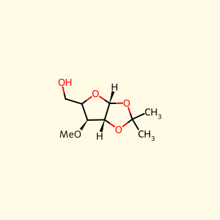 CO[C@H]1C(CO)O[C@@H]2OC(C)(C)O[C@@H]21